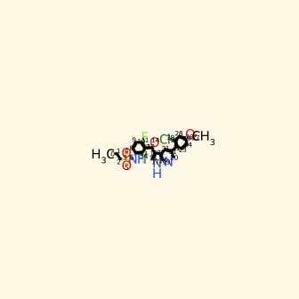 CCCS(=O)(=O)Nc1ccc(F)c(C(=O)c2c[nH]c3ncc(-c4ccc(OC)cc4Cl)cc23)c1F